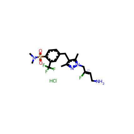 Cc1nn(C/C(F)=C/CN)c(C)c1Cc1ccc(S(=O)(=O)N(C)C)c(C(F)(F)F)c1.Cl